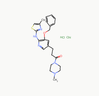 Cc1csc(Nc2ncc(CCC(=O)N3CCN(C)CC3)cc2OCc2ccccc2)n1.Cl.Cl